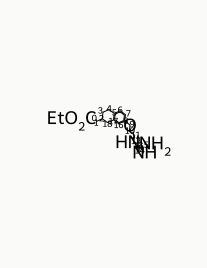 CCOC(=O)CC1CCc2ccc(OCCNC(=N)N)cc2C1